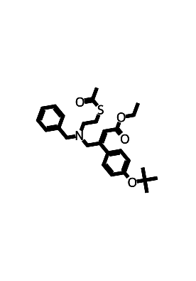 CCOC(=O)C=C(CN(CCSC(C)=O)Cc1ccccc1)c1ccc(OC(C)(C)C)cc1